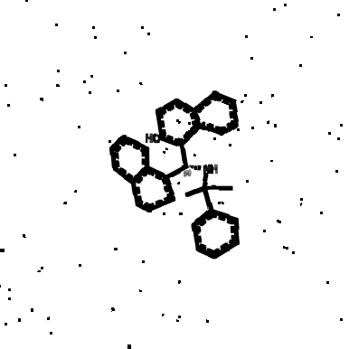 CC(C)(N[C@H](c1cccc2ccccc12)c1c(O)ccc2ccccc12)c1ccccc1